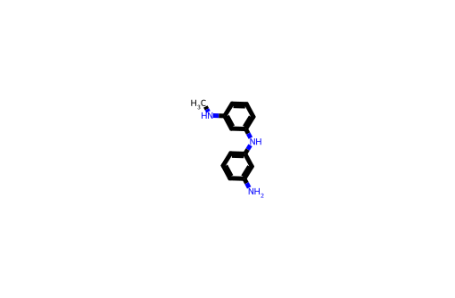 CNc1cccc(Nc2cccc(N)c2)c1